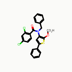 O=C(O)Oc1sc(-c2ccccc2)cc1N(Cc1ccccc1)C(=O)c1ccc(Cl)cc1Cl